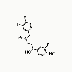 [C-]#[N+]c1ccc(C(O)CCN(Cc2ccc(F)c(F)c2)C(C)C)cc1F